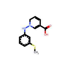 CSc1cccc(NN2C=C(C(=O)O)C=CC2)c1